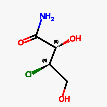 NC(=O)[C@H](O)[C@H](Cl)CO